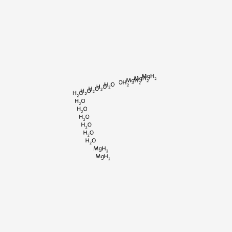 O.O.O.O.O.O.O.O.O.O.O.O.[MgH2].[MgH2].[MgH2].[MgH2].[MgH2]